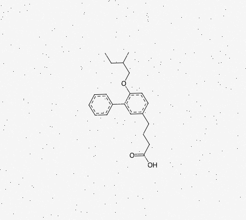 CCC(C)COc1ccc(CCCC(=O)O)cc1-c1ccccc1